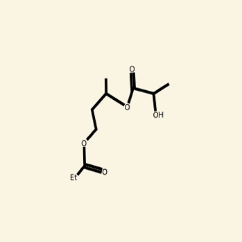 CCC(=O)OCCC(C)OC(=O)C(C)O